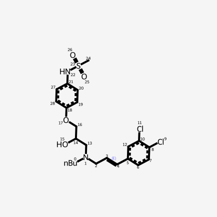 CCCCN(C/C=C/c1ccc(Cl)c(Cl)c1)CC(O)COc1ccc(NS(C)(=O)=O)cc1